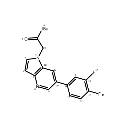 CC(C)(C)C(=O)Cn1ccc2ncc(-c3ccc(F)c(F)c3)cc21